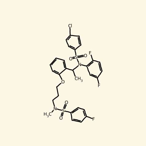 CC(c1ccccc1OCCCN(C)S(=O)(=O)c1ccc(F)cc1)N(c1cc(F)ccc1F)S(=O)(=O)c1ccc(Cl)cc1